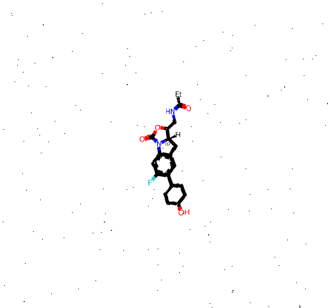 CCC(=O)NCC1OC(=O)N2c3cc(F)c(C4CCC(O)CC4)cc3C[C@@H]12